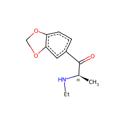 CCN[C@H](C)C(=O)c1ccc2c(c1)OCO2